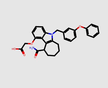 NC(=O)C1CCCCc2c1c1c(OCC(=O)O)cccc1n2Cc1cccc(Oc2ccccc2)c1